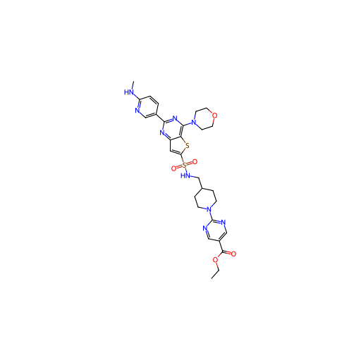 CCOC(=O)c1cnc(N2CCC(CNS(=O)(=O)c3cc4nc(-c5ccc(NC)nc5)nc(N5CCOCC5)c4s3)CC2)nc1